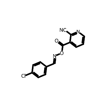 N#Cc1ncccc1C(=O)O/N=C/c1ccc(Cl)cc1